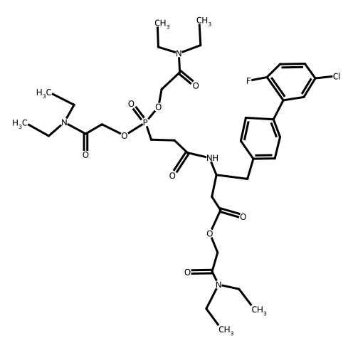 CCN(CC)C(=O)COC(=O)CC(Cc1ccc(-c2cc(Cl)ccc2F)cc1)NC(=O)CCP(=O)(OCC(=O)N(CC)CC)OCC(=O)N(CC)CC